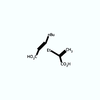 C=C(CC)C(=O)O.CCCCC=CC(=O)O